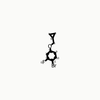 Fc1cc(OCC2CC2)ccc1Br